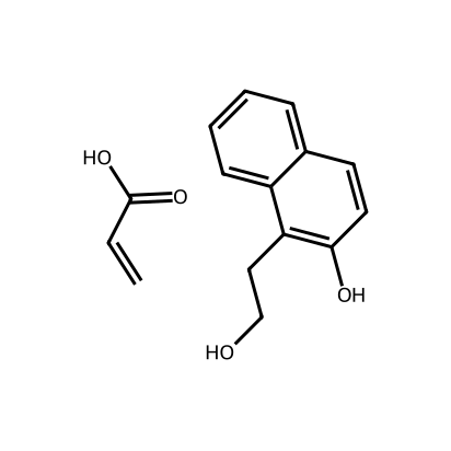 C=CC(=O)O.OCCc1c(O)ccc2ccccc12